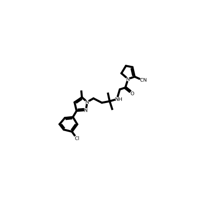 Cc1cc(-c2cccc(Cl)c2)nn1CCC(C)(C)NCC(=O)N1CCC=C1C#N